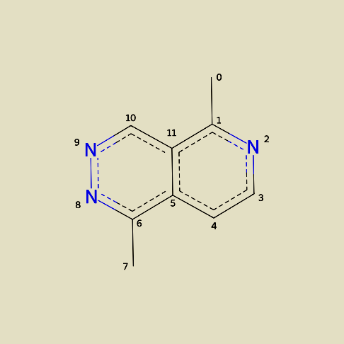 Cc1nccc2c(C)nncc12